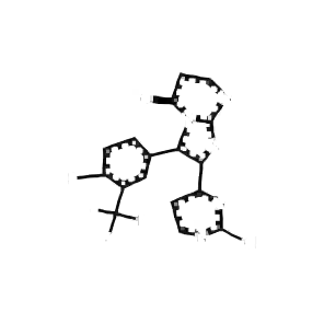 O=c1ccnc2sc(-c3ccnc(Cl)n3)c(-c3ccc(F)c(C(F)(F)F)c3)n12